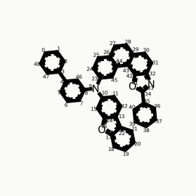 c1ccc(-c2cccc(N(c3ccc4c(c3)oc3ccccc34)c3ccc4ccc5ccc6nc(-c7ccccc7)oc6c5c4c3)c2)cc1